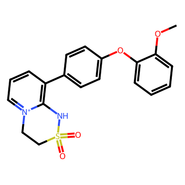 COc1ccccc1Oc1ccc(-c2ccc[n+]3c2NS(=O)(=O)CC3)cc1